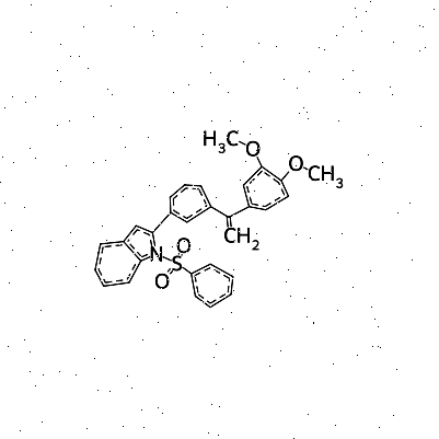 C=C(c1cccc(-c2cc3ccccc3n2S(=O)(=O)c2ccccc2)c1)c1ccc(OC)c(OC)c1